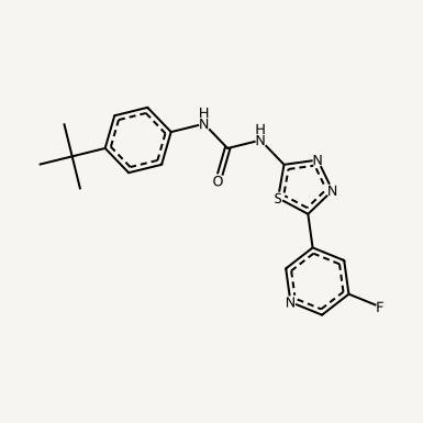 CC(C)(C)c1ccc(NC(=O)Nc2nnc(-c3cncc(F)c3)s2)cc1